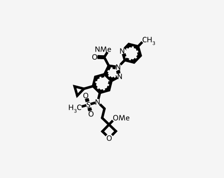 CNC(=O)c1c2cc(C3CC3)c(N(CCC3(OC)COC3)S(C)(=O)=O)cc2nn1-c1ccc(C)cn1